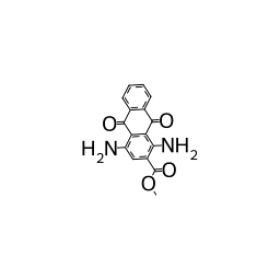 COC(=O)c1cc(N)c2c(c1N)C(=O)c1ccccc1C2=O